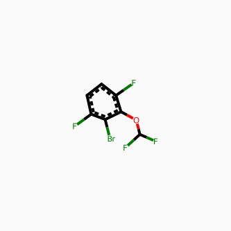 Fc1ccc(F)c(OC(F)F)c1Br